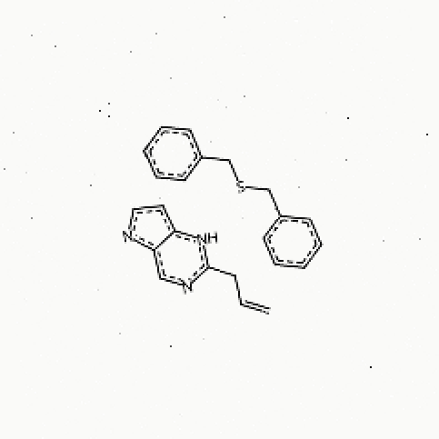 C=CCc1ncc2nccc-2[nH]1.c1ccc(CSCc2ccccc2)cc1